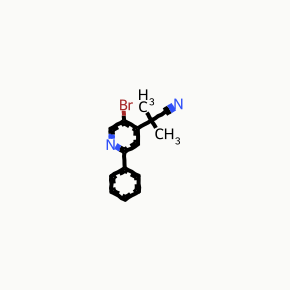 CC(C)(C#N)c1cc(-c2ccccc2)ncc1Br